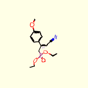 CCOP(=O)(C/C(=C/C#N)c1ccc(OC)cc1)OCC